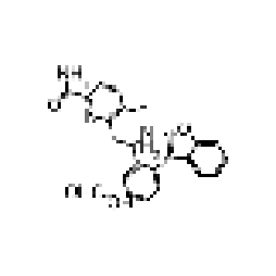 NC(=O)c1ccc(F)c(CC(N)c2ccccc2-c2noc3ccccc23)n1.O=CO